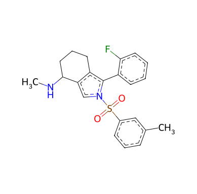 CNC1CCCc2c1cn(S(=O)(=O)c1cccc(C)c1)c2-c1ccccc1F